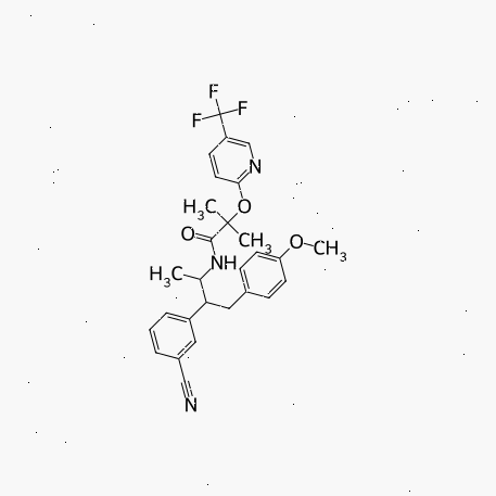 COc1ccc(CC(c2cccc(C#N)c2)C(C)NC(=O)C(C)(C)Oc2ccc(C(F)(F)F)cn2)cc1